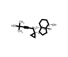 CC(C)(O)C#CCC1([C@H]2CC[C@H]3[C@@H](O)CCC[C@]23C)CC1